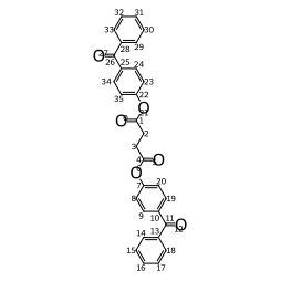 O=C(CCC(=O)Oc1ccc(C(=O)c2ccccc2)cc1)Oc1ccc(C(=O)c2ccccc2)cc1